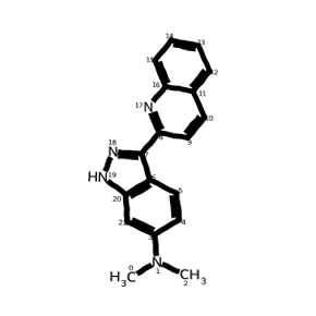 CN(C)c1ccc2c(-c3ccc4ccccc4n3)n[nH]c2c1